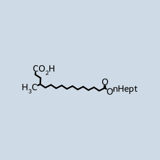 CCCCCCCOC(=O)CCCCCCCCCCCC(C)CCC(=O)O